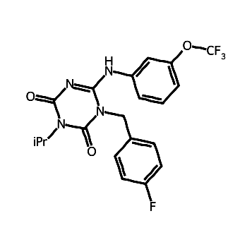 CC(C)n1c(=O)nc(Nc2cccc(OC(F)(F)F)c2)n(Cc2ccc(F)cc2)c1=O